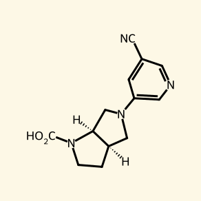 N#Cc1cncc(N2C[C@H]3CCN(C(=O)O)[C@H]3C2)c1